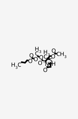 CCCCOC(=O)OC(C)OC(=O)[C@@H]1N2C(=O)C[C@H]2S[C@@]1(C)COC(C)=O